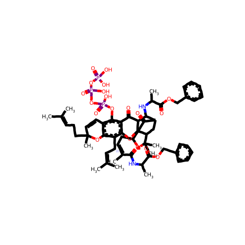 CC(C)=CCCC1(C)C=Cc2c(c(CC=C(C)C)c3c(c2OP(=O)(O)OP(=O)(O)OP(=O)(O)O)C(=O)C2C(NC(C)C(=O)OCc4ccccc4)C4CC5C(C)(C)OC(C/C=C(/C)C(=O)NC(C)C(=O)OCc6ccccc6)(C4=O)C25O3)O1